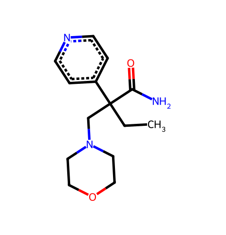 CCC(CN1CCOCC1)(C(N)=O)c1ccncc1